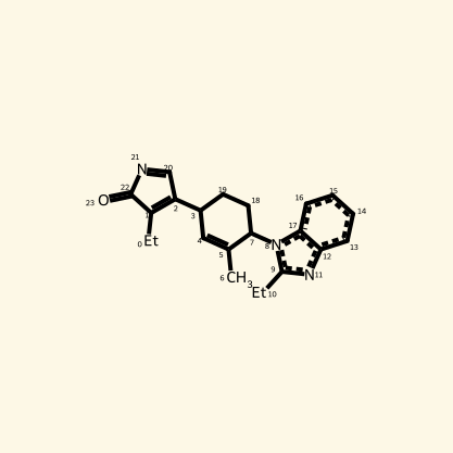 CCC1=C(C2C=C(C)C(n3c(CC)nc4ccccc43)CC2)C=NC1=O